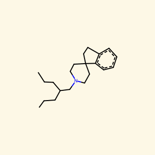 CCCC(CCC)CN1CCC2(CCc3ccccc32)CC1